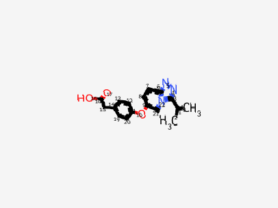 CC(C)c1nnc2ccc(Oc3ccc(CC(=O)O)cc3)cn12